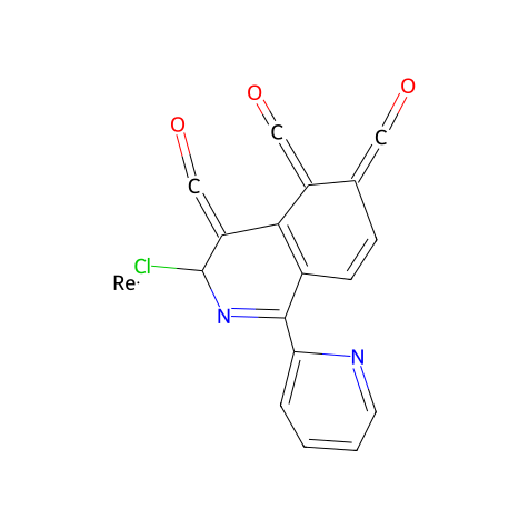 O=C=C1c2c(ccc(=C=O)c2=C=O)C(c2ccccn2)=NC1Cl.[Re]